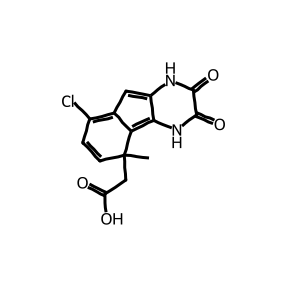 CC1(CC(=O)O)C=CC(Cl)=C2C=c3[nH]c(=O)c(=O)[nH]c3=C21